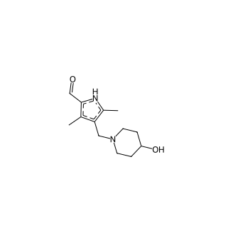 Cc1[nH]c(C=O)c(C)c1CN1CCC(O)CC1